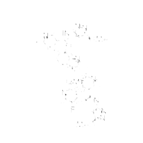 COc1nnc(NC(=O)c2cnc(C)cc2-c2ccc3sc(Cc4cc(-c5cc(F)cnc5OC)c(C(=O)Nc5nnc(OC)s5)cn4)nc3c2)s1